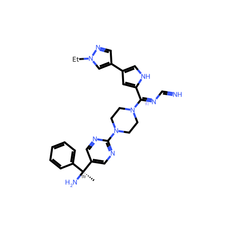 CCn1cc(-c2c[nH]c(/C(=N\C=N)N3CCN(c4ncc([C@@](C)(N)c5ccccc5)cn4)CC3)c2)cn1